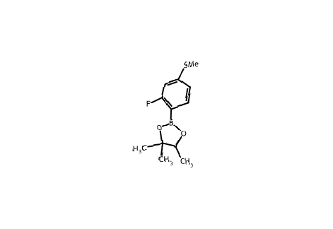 CSc1ccc(B2OC(C)C(C)(C)O2)c(F)c1